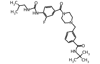 CC(C)CNC(=O)Nc1ccc(C(=O)N2CCN(Cc3cccc(C(=O)NC(C)(C)C)c3)CC2)cc1F